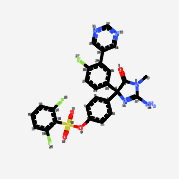 CN1C(=O)C(c2ccc(OS(=O)(=O)c3c(F)cccc3F)cc2)(c2ccc(F)c(-c3cncnc3)c2)N=C1N